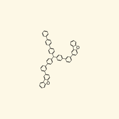 c1ccc(-c2ccc(-c3ccc(C(c4ccc(-c5cccc(-c6ccc7oc8ccccc8c7c6)c5)cc4)c4ccc(-c5cccc(-c6ccc7oc8ccccc8c7c6)c5)cc4)cc3)cc2)cc1